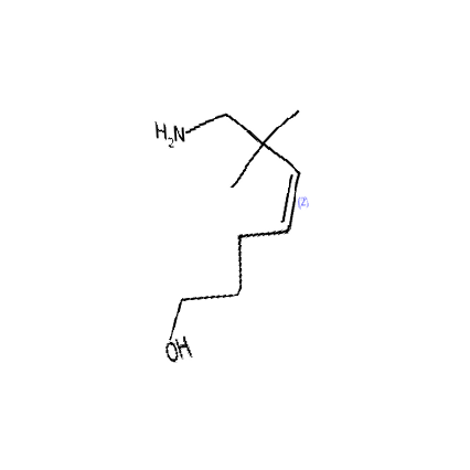 CC(C)(/C=C\CCCO)CN